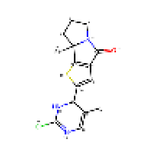 CCC12CCCN1C(=O)c1cc(C3NC(Cl)=NC=C3C)sc12